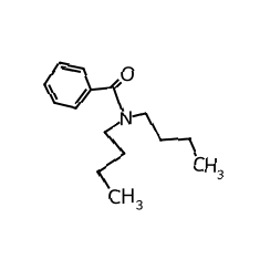 CCCCN(CCCC)C(=O)c1ccccc1